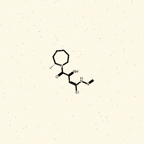 C=NN/C(=C\C(=N)C(=O)N1CCCCC[C@H]1C)CC